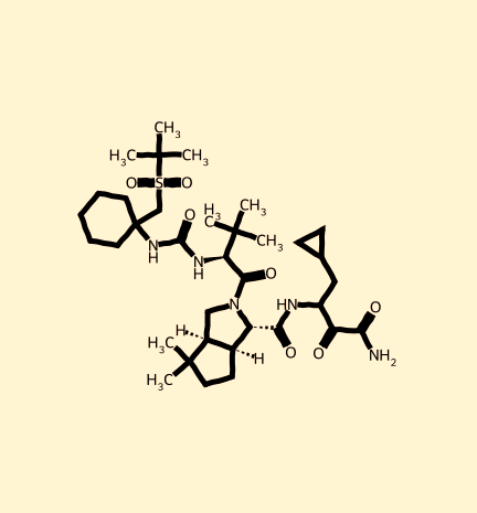 CC(C)(C)[C@H](NC(=O)NC1(CS(=O)(=O)C(C)(C)C)CCCCC1)C(=O)N1C[C@H]2[C@H](CCC2(C)C)[C@H]1C(=O)NC(CC1CC1)C(=O)C(N)=O